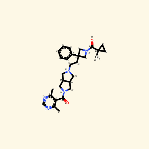 Cc1ncnc(C)c1C(=O)N1CC2CN(CCC3(c4ccccc4)CN(C(=O)C4(C(F)(F)F)CC4)C3)CC2C1